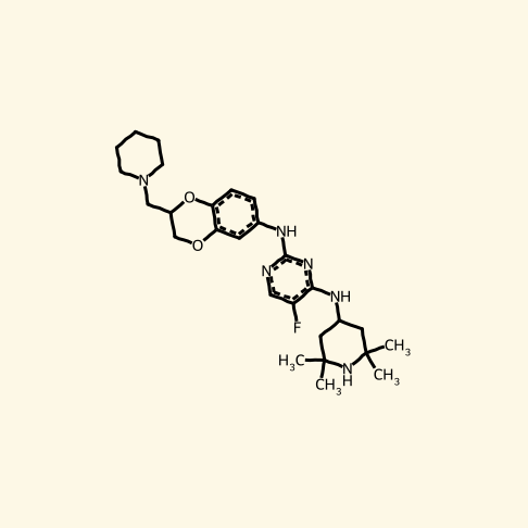 CC1(C)CC(Nc2nc(Nc3ccc4c(c3)OCC(CN3CCCCC3)O4)ncc2F)CC(C)(C)N1